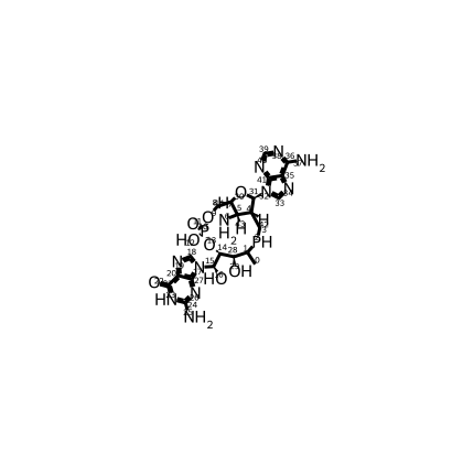 CC1PC[C@@H]2[C@H](N)[C@@H](COP(=O)(O)O[C@@H]([C@@H](O)n3cnc4c(=O)[nH]c(N)nc43)[C@@H]1O)O[C@H]2n1cnc2c(N)ncnc21